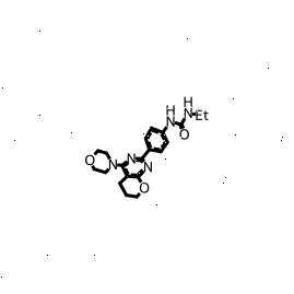 CCNC(=O)Nc1ccc(-c2nc3c(c(N4CCOCC4)n2)CCCO3)cc1